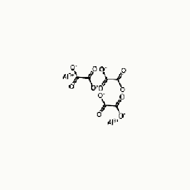 O=C([O-])C(=O)[O-].O=C([O-])C(=O)[O-].O=C([O-])C(=O)[O-].[Al+3].[Al+3]